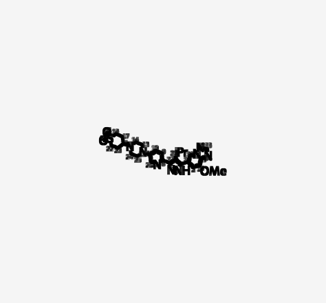 COc1cc(-c2[nH]nc(-c3ccc(N4CCN(C5CCS(=O)(=O)CC5)CC4)cn3)c2C(C)C)cn2ncnc12